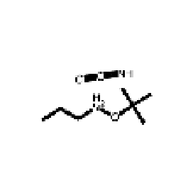 CCC[SiH2]OC(C)(C)C.N=C=O